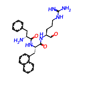 N=C(N)NCCC[C@@H](C=O)NC(=O)[C@H](Cc1cccc2ccccc12)NC(=O)[C@H](N)Cc1ccccc1